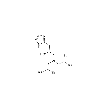 CCCCC(CC)CN(CC(O)Cc1ncc[nH]1)CC(CC)CCCC